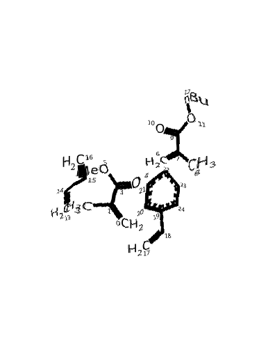 C=C(C)C(=O)OC.C=C(C)C(=O)OCCCC.C=CC=C.C=Cc1ccccc1